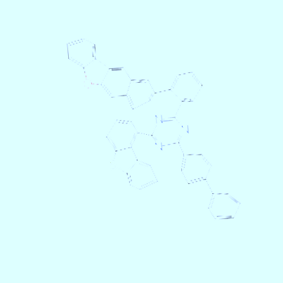 c1ccc(-c2ccc(-c3nc(-c4ccccc4-c4ccc5cc6oc7ccccc7c6cc5c4)nc(-c4cccc5sc6ccccc6c45)n3)cc2)cc1